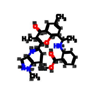 Cc1cc(C(C)Nc2ccccc2C(=O)OC(C)(C)C)c2oc(-c3ccc4c(cnn4C)n3)c(C)c(=O)c2c1